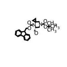 CC(C)(C)OC(=O)N1C[C@H](C=O)N(C(=O)OCC2c3ccccc3-c3ccccc32)C2(CC2)C1